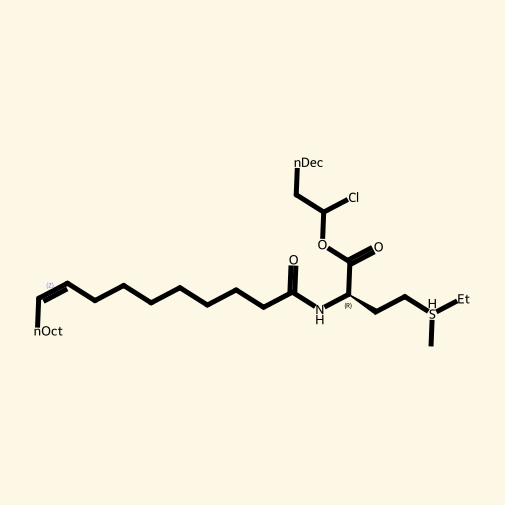 CCCCCCCC/C=C\CCCCCCCC(=O)N[C@H](CC[SH](C)CC)C(=O)OC(Cl)CCCCCCCCCCC